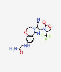 N#Cc1c(N2C(=O)OCC2C(F)(F)F)nc2n1CCOc1cc(NCC(N)=O)ccc1-2